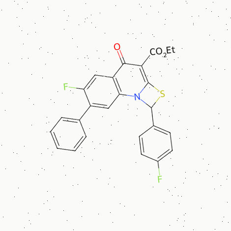 CCOC(=O)c1c2n(c3cc(-c4ccccc4)c(F)cc3c1=O)C(c1ccc(F)cc1)S2